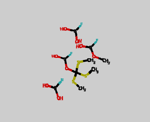 COB(O)F.CSC(OB(O)F)(SC)SC.OB(O)F.OB(O)F